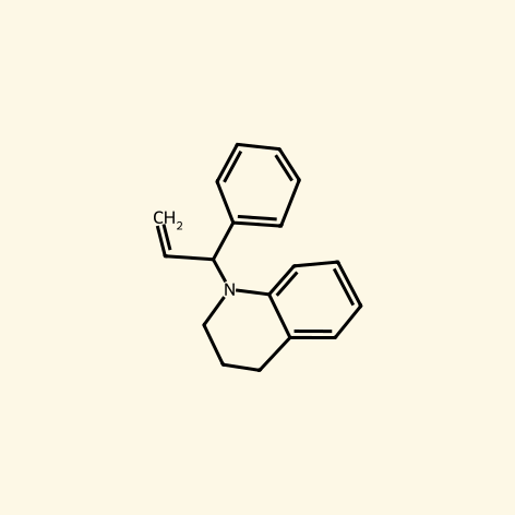 C=CC(c1ccccc1)N1CCCc2ccccc21